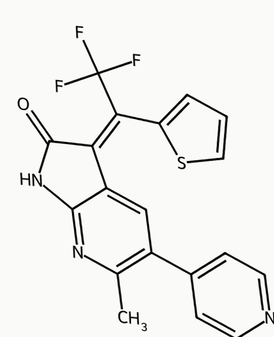 Cc1nc2c(cc1-c1ccncc1)C(=C(c1cccs1)C(F)(F)F)C(=O)N2